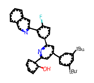 CC(C)(C)c1cc(-c2cc(-c3ccc(F)c(-c4cc5ccccc5cn4)c3)nc(-c3ccccc3O)c2)cc(C(C)(C)C)c1